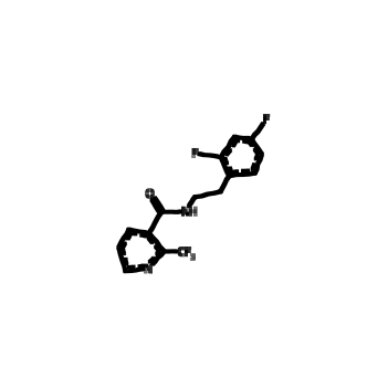 O=C(NCCc1ccc(F)cc1F)c1cccnc1C(F)(F)F